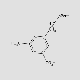 CCCCCC.Cc1cc(C(=O)O)cc(C(=O)O)c1